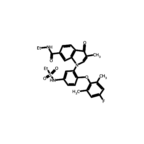 CCNC(=O)c1ccc2c(=O)c(C)cn(-c3cc(NS(=O)(=O)CC)ccc3Oc3c(C)cc(F)cc3C)c2c1